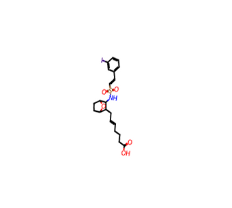 O=C(O)CCC/C=C/CC1C2CCC(O2)C1NS(=O)(=O)/C=C/c1cccc(I)c1